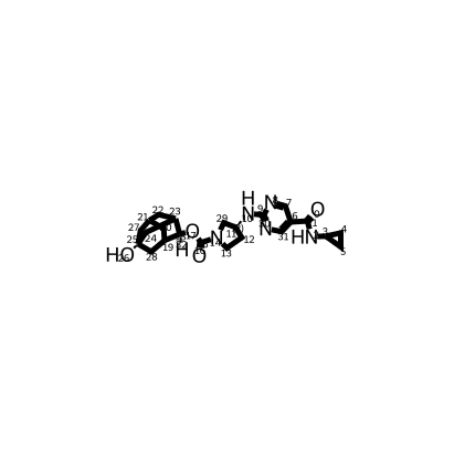 O=C(NC1CC1)c1cnc(N[C@@H]2CCN(C(=O)O[C@H]3C4CC5CC3C[C@](O)(C5)C4)C2)nc1